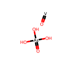 O=[As](O)(O)O.[O]=[V]